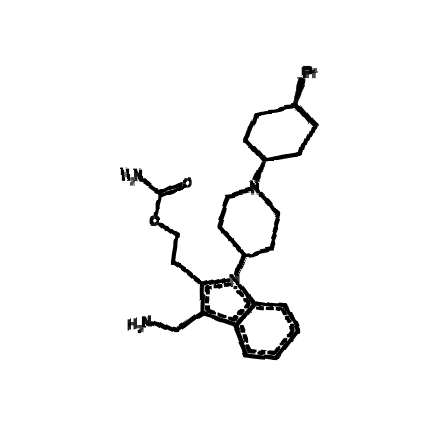 CC(C)[C@H]1CC[C@@H](N2CCC(n3c(CCOC(N)=O)c(CN)c4ccccc43)CC2)CC1